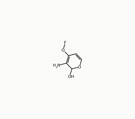 NC1=C(OF)C=COC1O